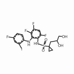 O=S(=O)(Nc1c(F)cc(F)c(F)c1Nc1ccc(F)cc1I)C1(CC(O)CO)CC1